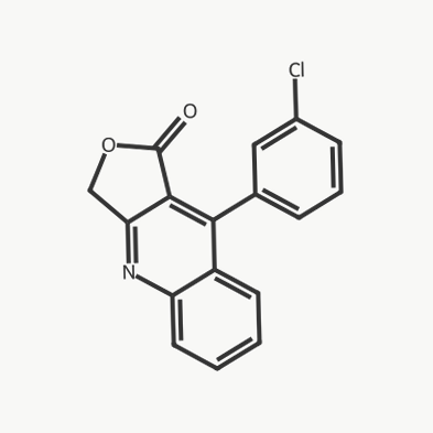 O=C1OCc2nc3ccccc3c(-c3cccc(Cl)c3)c21